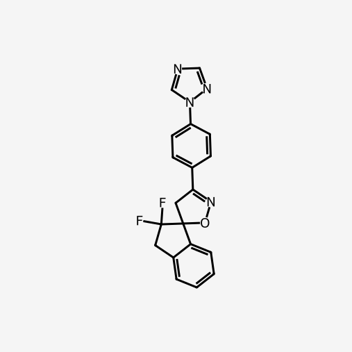 FC1(F)Cc2ccccc2C12CC(c1ccc(-n3cncn3)cc1)=NO2